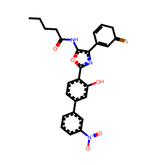 CCCCC(=O)Nc1oc(-c2ccc(-c3cccc([N+](=O)[O-])c3)cc2O)nc1C1=CC(=S)CC=C1